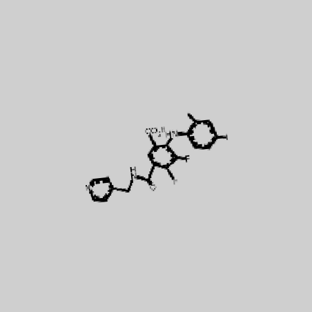 Cc1cc(I)ccc1Nc1c(C(=O)O)cc(C(=O)NCc2ccncc2)c(F)c1F